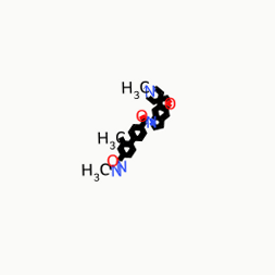 Cc1nnc(-c2ccc(-c3ccc(C(=O)N4CCc5cc6c(cc54)C4(CCN(C)CC4)CO6)cc3)c(C)c2)o1